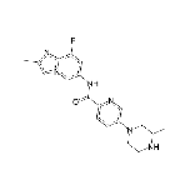 Cc1cn2cc(NC(=O)c3ccc(N4CCNC(C)C4)cn3)cc(F)c2n1